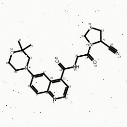 CC1(C)CN(c2ccc3nccc(C(=O)NCC(=O)N4CSCC4C#N)c3c2)CCO1